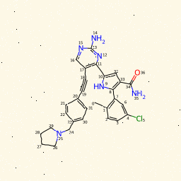 Cc1ccc(Cl)cc1-c1[nH]c(-c2nc(N)ncc2C#Cc2ccc(CN3CCCC3)cc2)cc1C(N)=O